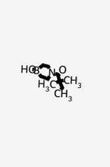 CCC(C)(C)C(=O)N1CCB(O)CC1